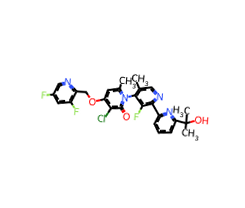 Cc1cnc(-c2cccc(C(C)(C)O)n2)c(F)c1-n1c(C)cc(OCc2ncc(F)cc2F)c(Cl)c1=O